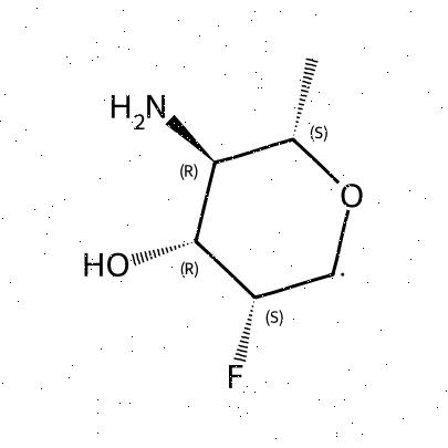 C[C@@H]1O[CH][C@H](F)[C@H](O)[C@H]1N